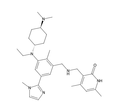 CCN(c1cc(-c2nccn2C)cc(CNCc2c(C)cc(C)[nH]c2=O)c1C)[C@H]1CC[C@H](N(C)C)CC1